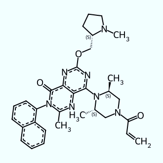 C=CC(=O)N1C[C@H](C)N(c2nc(OC[C@@H]3CCCN3C)nc3c(=O)n(-c4cccc5ccccc45)c(C)nc23)[C@@H](C)C1